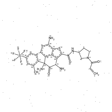 C=CC(=O)N1CCC(NC(=O)c2sc3c(N)ccc4c3c2C(N)C(=O)C4(N)c2ccc(S(F)(F)(F)(F)F)cc2C)C1